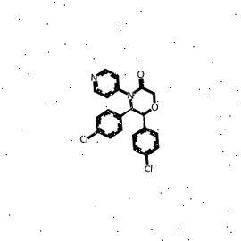 O=C1CO[C@@H](c2ccc(Cl)cc2)[C@@H](c2ccc(Cl)cc2)N1c1ccncc1